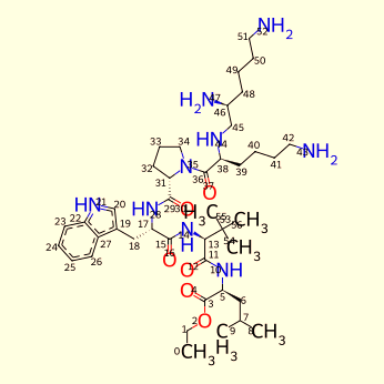 CCOC(=O)[C@H](CC(C)C)NC(=O)[C@@H](NC(=O)[C@H](Cc1c[nH]c2ccccc12)NC(=O)[C@@H]1CCCN1C(=O)[C@H](CCCCN)NC[C@@H](N)CCCCN)C(C)(C)C